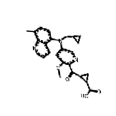 COc1cc(N(CC2CC2)c2ccc(C)c3ncccc23)cnc1C(=O)C1CC1C(=O)O